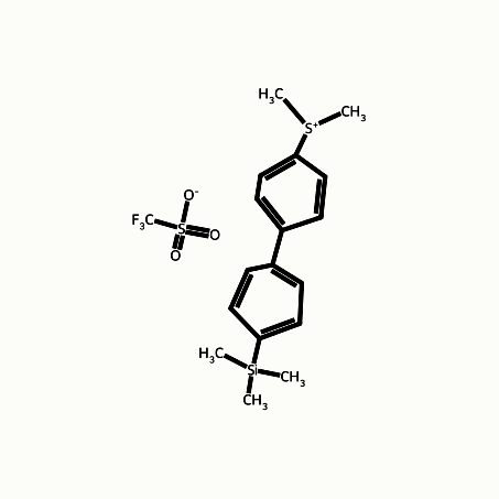 C[S+](C)c1ccc(-c2ccc([Si](C)(C)C)cc2)cc1.O=S(=O)([O-])C(F)(F)F